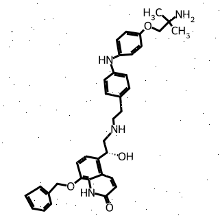 CC(C)(N)COc1ccc(Nc2ccc(CCNC[C@H](O)c3ccc(OCc4ccccc4)c4[nH]c(=O)ccc34)cc2)cc1